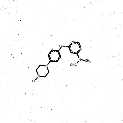 CCN1CCN(c2ccc(Nc3cc(N(C)C=O)ncn3)cc2)CC1